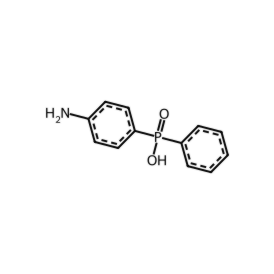 Nc1ccc(P(=O)(O)c2ccccc2)cc1